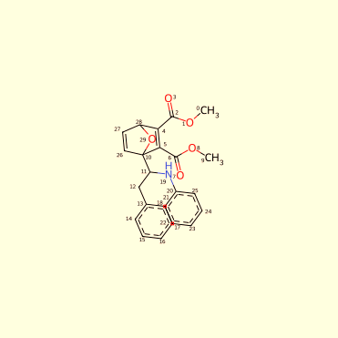 COC(=O)C1=C(C(=O)OC)C2(C(Cc3ccccc3)Nc3ccccc3)C=CC1O2